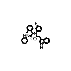 Cc1ccccc1C(C(=O)NC1CCCCC1)N(C(=O)Cc1c[nH]c2ccccc12)c1cccc(F)c1